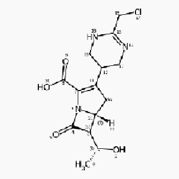 C[C@@H](O)[C@H]1C(=O)N2C(C(=O)O)=C(C3CN=C(CCl)NC3)C[C@H]12